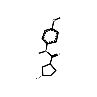 COc1ccc(N(C)C(=O)C2CC[C@H](C)C2)cc1